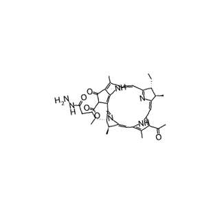 CC[C@H]1c2cc3[nH]c4c(c3C)C(=O)C(C(=O)OC)c4c3nc(cc4[nH]c(cc(n2)[C@@H]1C)c(C(C)=O)c4C)[C@@H](C)[C@@H]3CCCC(=O)NN